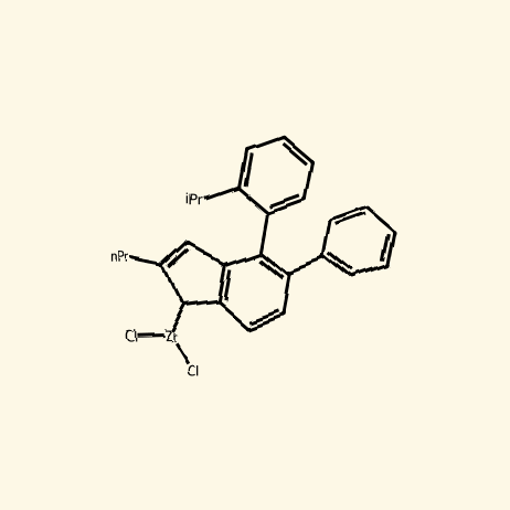 CCCC1=Cc2c(ccc(-c3ccccc3)c2-c2ccccc2C(C)C)[CH]1[Zr]([Cl])[Cl]